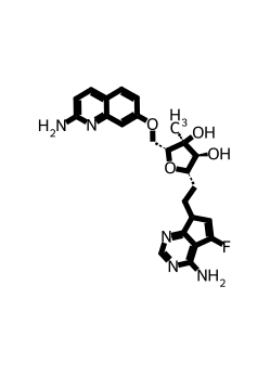 C[C@@]1(O)[C@@H](COc2ccc3ccc(N)nc3c2)O[C@@H](CCC2C=C(F)c3c(N)ncnc32)[C@@H]1O